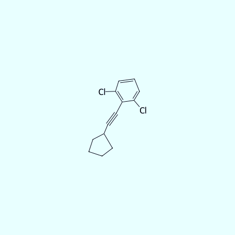 Clc1cccc(Cl)c1C#CC1CCCC1